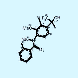 CCCCN(C(=O)c1ccccc1I)c1ccc(C(C)(O)C(F)(F)F)c(C)c1OC